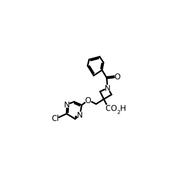 O=C(c1ccccc1)N1CC(COc2cnc(Cl)cn2)(C(=O)O)C1